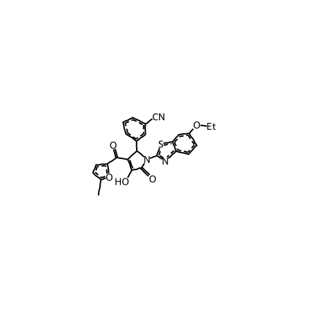 CCOc1ccc2nc(N3C(=O)C(O)=C(C(=O)c4ccc(C)o4)C3c3cccc(C#N)c3)sc2c1